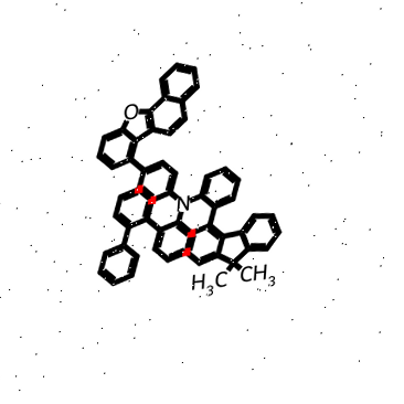 CC1(C)c2ccccc2-c2c(-c3ccccc3N(c3ccc(-c4cccc5oc6c7ccccc7ccc6c45)cc3)c3ccccc3-c3ccccc3-c3ccccc3)cccc21